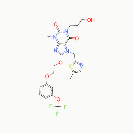 Cc1cnc(Cn2c(OCCOc3cccc(OC(F)(F)F)c3)nc3c2c(=O)n(CCCO)c(=O)n3C)s1